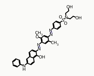 COc1cc(/N=N/c2ccc(S(=O)(=O)N(CCO)CCO)cc2)c(C)cc1/N=N/c1ccc2cc(Nc3ccccc3)ccc2c1O